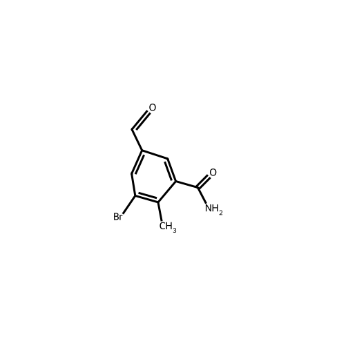 Cc1c(Br)cc(C=O)cc1C(N)=O